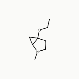 CCOC12CCN(C)C1C2